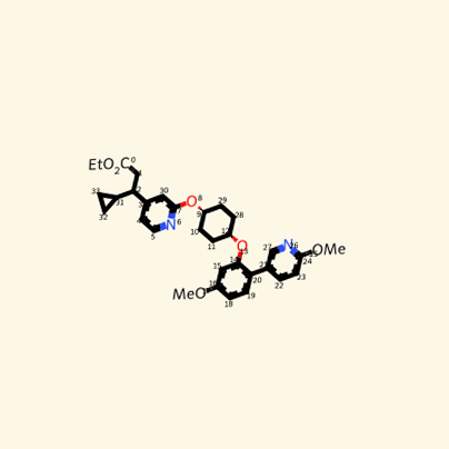 CCOC(=O)CC(c1ccnc(O[C@H]2CC[C@H](Oc3cc(OC)ccc3-c3ccc(OC)nc3)CC2)c1)C1CC1